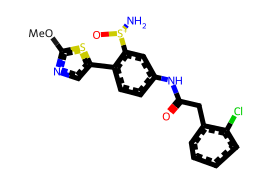 COc1ncc(-c2ccc(NC(=O)Cc3ccccc3Cl)cc2[S+](N)[O-])s1